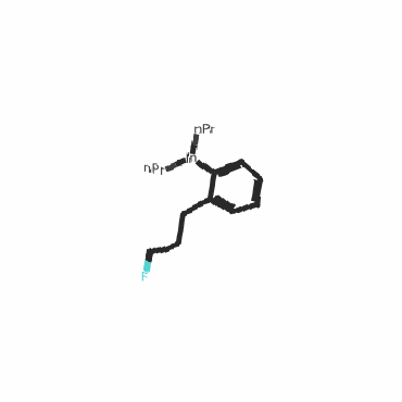 CC[CH2][In]([CH2]CC)[c]1ccccc1CCCF